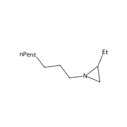 CCCCCCCCN1CC1CC